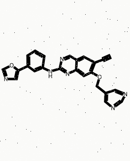 C#Cc1cc2cnc(Nc3cccc(-c4cnco4)c3)nc2cc1OCc1cncnc1